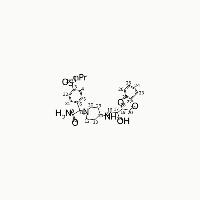 CCC[S+]([O-])c1ccc(C(C(N)=O)N2CCC(NCC(O)C3COc4ccccc4O3)CC2)cc1